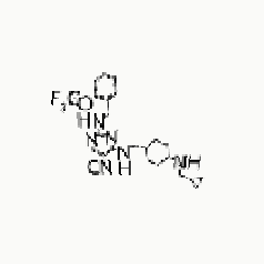 N#Cc1cnc(NCc2ccccc2OC(F)(F)F)nc1NCC1CCC(NCC2CC2)CC1